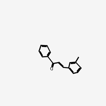 Cc1cccc(C=CC(=O)c2ccccc2)c1